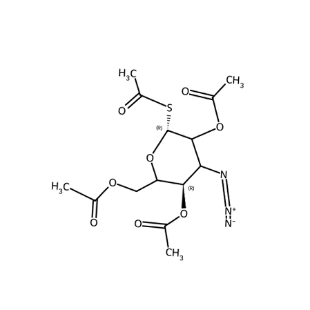 CC(=O)OCC1O[C@H](SC(C)=O)C(OC(C)=O)C(N=[N+]=[N-])[C@H]1OC(C)=O